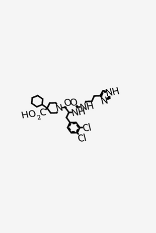 O=C(NCCCc1c[nH]cn1)NC(Cc1ccc(Cl)c(Cl)c1)C(=O)N1CCC(C(=O)O)(C2CCCCC2)CC1